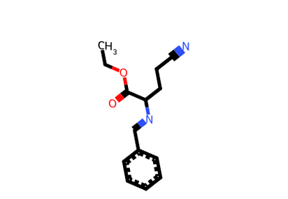 CCOC(=O)C(CCC#N)/N=C/c1ccccc1